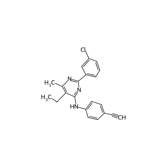 C#Cc1ccc(Nc2nc(-c3cccc(Cl)c3)nc(C)c2CC)cc1